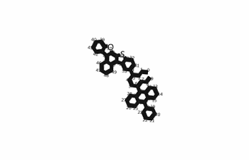 C=C/C=C(/C=C\C(=C\C=C)c1c2ccccc2c(-c2ccccc2)c2ccccc12)c1ccc2sc3c4oc5ccccc5c4c4ccccc4c3c2c1